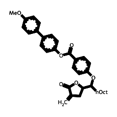 C=C1CC(C(CCCCCCCC)Oc2ccc(C(=O)Oc3ccc(-c4ccc(OC)cc4)cc3)cc2)OC1=O